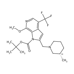 COc1ncc(C(F)(F)F)c2cc(CN3CCC[C@H](C)C3)n(C(=O)OC(C)(C)C)c12